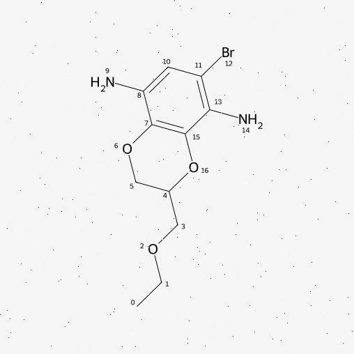 CCOCC1COc2c(N)cc(Br)c(N)c2O1